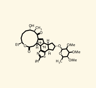 CC[C@H]1CCC[C@H](O)[C@@H](C)C(=O)C2=C[C@H]3[C@@H]4C[C@H](O[C@@H]5OC(C)[C@H](OC)C(OC)C5OC)C[C@H]4c4sc(C(C)C)nc4[C@H]3[C@@H]2CC(=O)O1